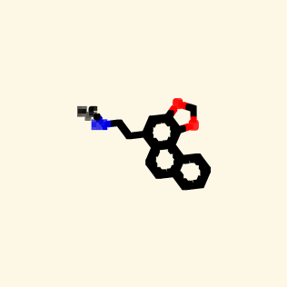 CNCCc1cc2c(c3c1ccc1ccccc13)OCO2